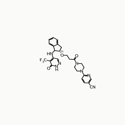 N#Cc1ccc(N2CCN(C(=O)CCO[C@H]3Cc4ccccc4C3Nc3cn[nH]c(=O)c3C(F)(F)F)CC2)nc1